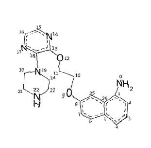 Nc1cccc2ccc(OCCOc3nccnc3N3CCNCC3)cc12